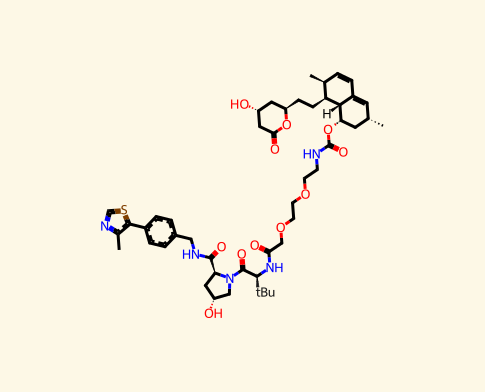 Cc1ncsc1-c1ccc(CNC(=O)[C@@H]2C[C@@H](O)CN2C(=O)[C@@H](NC(=O)COCCOCCNC(=O)O[C@H]2C[C@@H](C)C=C3C=C[C@H](C)[C@H](CC[C@@H]4C[C@@H](O)CC(=O)O4)[C@H]32)C(C)(C)C)cc1